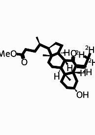 [2H]C(=C1C(=O)[C@@H]2[C@H](CC[C@]3(C)[C@@H]([C@H](C)CCC(=O)OC)CC[C@@H]23)[C@@]2(C)CC[C@@H](O)C[C@@H]12)C([2H])([2H])[2H]